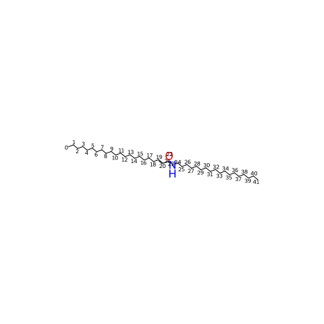 CCCCCCCCCCCCCCCCCCCC=CC(=O)NCCCCCCCCCCCCCCCCCC